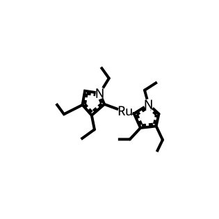 CCc1cn(CC)[c]([Ru][c]2c(CC)c(CC)cn2CC)c1CC